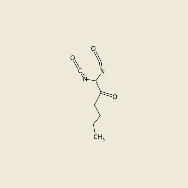 CCCCC(=O)C(N=C=O)N=C=O